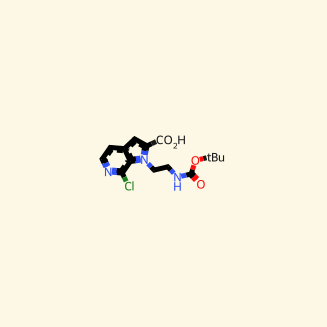 CC(C)(C)OC(=O)NCCn1c(C(=O)O)cc2ccnc(Cl)c21